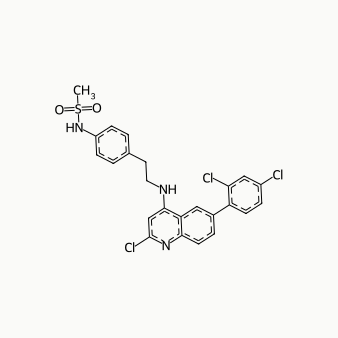 CS(=O)(=O)Nc1ccc(CCNc2cc(Cl)nc3ccc(-c4ccc(Cl)cc4Cl)cc23)cc1